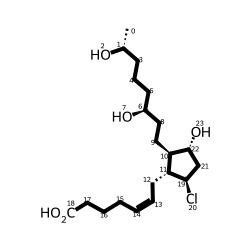 C[C@@H](O)CCC[C@H](O)CC[C@@H]1[C@@H](C/C=C\CCCC(=O)O)[C@H](Cl)C[C@H]1O